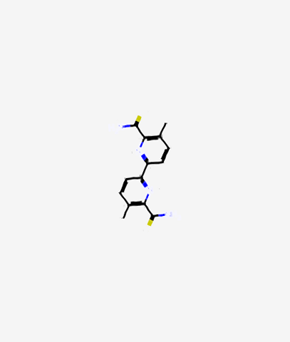 Cc1ccc(-c2ccc(C)c(C(N)=S)n2)nc1C(N)=S